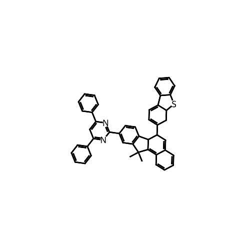 CC1(C)C2=c3ccccc3=CC(C3=CC=C4c5ccccc5SC4C3)C2c2ccc(-c3nc(-c4ccccc4)cc(-c4ccccc4)n3)cc21